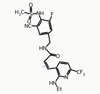 CCNc1nc(C(F)(F)F)ccc1/C=C\C(=O)NCc1cc(F)c(NS(C)(=O)=O)c(C#N)c1